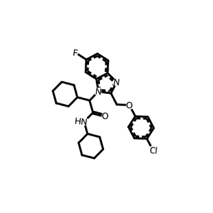 O=C(NC1CCCCC1)C(C1CCCCC1)n1c(COc2ccc(Cl)cc2)nc2ccc(F)cc21